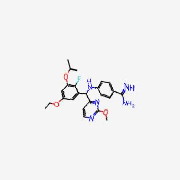 CCOc1cc(OC(C)C)c(F)c(C(Nc2ccc(C(=N)N)cc2)c2ccnc(OC)n2)c1